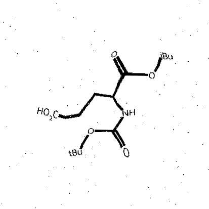 CCC(C)OC(=O)C(CCC(=O)O)NC(=O)OC(C)(C)C